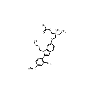 CCCCCc1ccc(-c2cc3ccc(OCC(C)(COC(=O)C(C)C)CC(F)(F)F)cc3n2CCCC(C)C)c(C(F)(F)F)c1